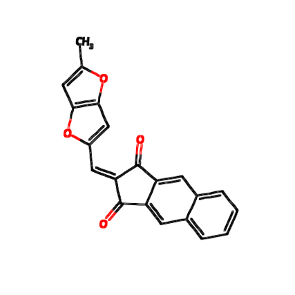 Cc1cc2oc(C=C3C(=O)c4cc5ccccc5cc4C3=O)cc2o1